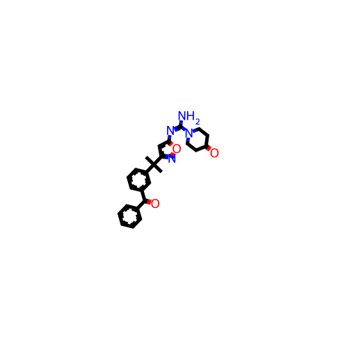 CC(C)(c1cccc(C(=O)c2ccccc2)c1)c1cc(/N=C(/N)N2CCC(=O)CC2)on1